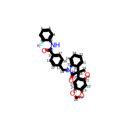 O=C(Nc1ccccc1F)c1ccc(CN2C(=O)C3(COc4cc5c(cc43)OCO5)c3ccccc32)cc1